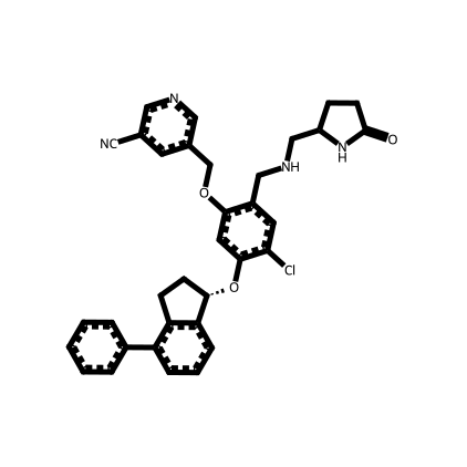 N#Cc1cncc(COc2cc(O[C@H]3CCc4c(-c5ccccc5)cccc43)c(Cl)cc2CNCC2CCC(=O)N2)c1